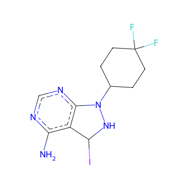 Nc1ncnc2c1C(I)NN2C1CCC(F)(F)CC1